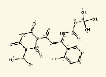 CC(C)N1C(=O)NC(=O)C(C(=O)C[C@@H](NC(=O)OC(C)(C)C)c2ccccc2F)C1=O